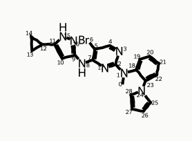 CN(c1ncc(Br)c(Nc2cc(C3CC3)[nH]n2)n1)c1ccccc1-n1cccc1